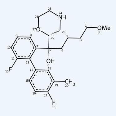 COCCCC[C@@](O)(c1cccc(F)c1-c1ccc(F)c(C)c1)[C@H]1CNCCO1